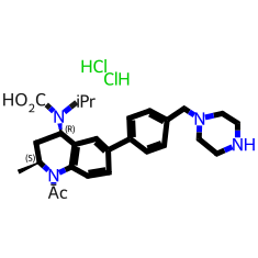 CC(=O)N1c2ccc(-c3ccc(CN4CCNCC4)cc3)cc2[C@H](N(C(=O)O)C(C)C)C[C@@H]1C.Cl.Cl